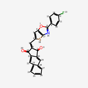 O=C1C(=Cc2cc3oc(-c4ccc(F)cc4)nc3s2)C(=O)c2cc3ccccc3cc21